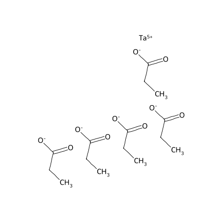 CCC(=O)[O-].CCC(=O)[O-].CCC(=O)[O-].CCC(=O)[O-].CCC(=O)[O-].[Ta+5]